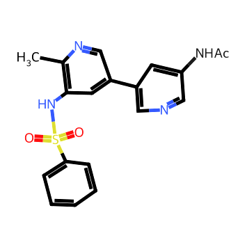 CC(=O)Nc1cncc(-c2cnc(C)c(NS(=O)(=O)c3ccccc3)c2)c1